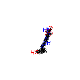 O=C1CCC(N2C(=O)c3cc4c(cc3C2=O)CN(C2CCC(NCC3CN(c5ccc([C@@H]6c7ccc(O)cc7CC[C@@H]6c6ccccc6)cc5)C3)CC2)C4)C(=O)N1